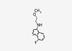 COCCNc1csc2c(F)cccc12